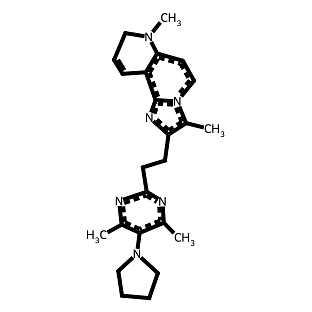 Cc1nc(CCc2nc3c4c(ccn3c2C)N(C)CC=C4)nc(C)c1N1CCCC1